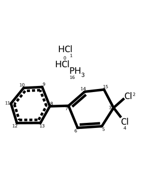 Cl.Cl.ClC1(Cl)C=CC(c2ccccc2)=CC1.P